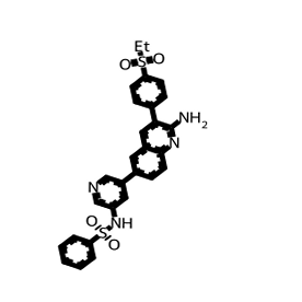 CCS(=O)(=O)c1ccc(-c2cc3cc(-c4cncc(NS(=O)(=O)c5ccccc5)c4)ccc3nc2N)cc1